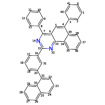 c1ccc(-c2cc3c(-c4ccccc4)nc(-c4cccc(-c5cccc6ccccc56)c4)nc3c3ccccc23)cc1